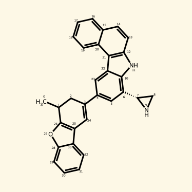 CC1CC(c2cc([C@@H]3CN3)c3[nH]c4ccc5ccccc5c4c3c2)=Cc2c1oc1ccccc21